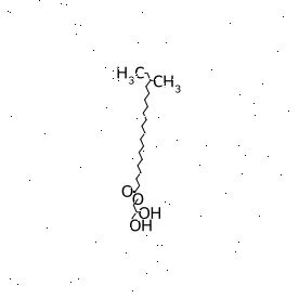 CCC(C)CCCCCCCCCCCCCCCCC(=O)OCC(O)CO